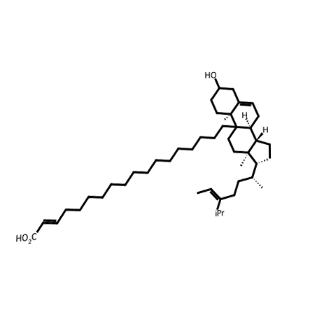 CC=C(CC[C@@H](C)[C@H]1CC[C@H]2[C@@H]3CC=C4CC(O)CC[C@]4(C)C3(CCCCCCCCCCCCCCCC=CC(=O)O)CC[C@]12C)C(C)C